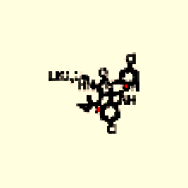 CCOC(=O)CNC1=C(C(=O)C2(C)CC2)C2(c3ccc(Cl)cc3NC2O)N(c2cccc(Cl)c2)C1=O